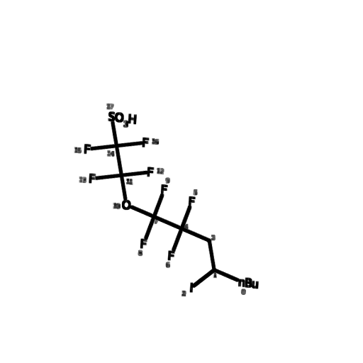 CCCCC(I)CC(F)(F)C(F)(F)OC(F)(F)C(F)(F)S(=O)(=O)O